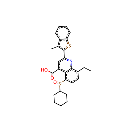 CCc1ccc([S+]([O-])C2CCCCC2)c2c(C(=O)O)cc(-c3sc4ccccc4c3C)nc12